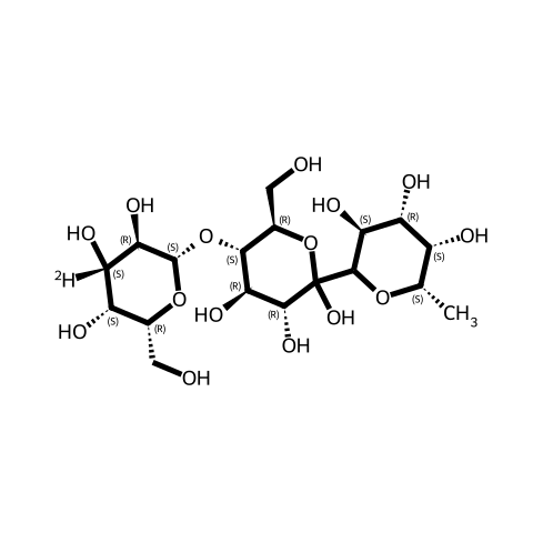 [2H][C@@]1(O)[C@@H](O)[C@H](O[C@H]2[C@H](O)[C@@H](O)C(O)(C3O[C@@H](C)[C@@H](O)[C@@H](O)[C@@H]3O)O[C@@H]2CO)O[C@H](CO)[C@@H]1O